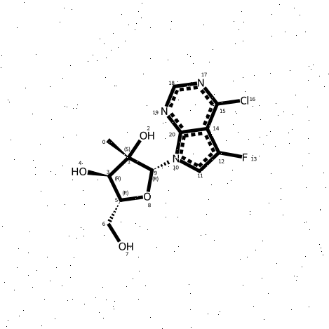 C[C@]1(O)[C@H](O)[C@@H](CO)O[C@H]1n1cc(F)c2c(Cl)ncnc21